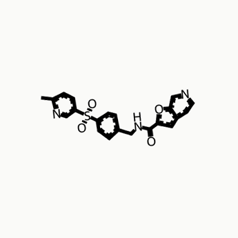 Cc1ccc(S(=O)(=O)c2ccc(CNC(=O)c3cc4ccncc4o3)cc2)cn1